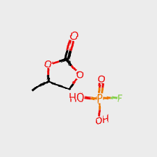 CC1COC(=O)O1.O=P(O)(O)F